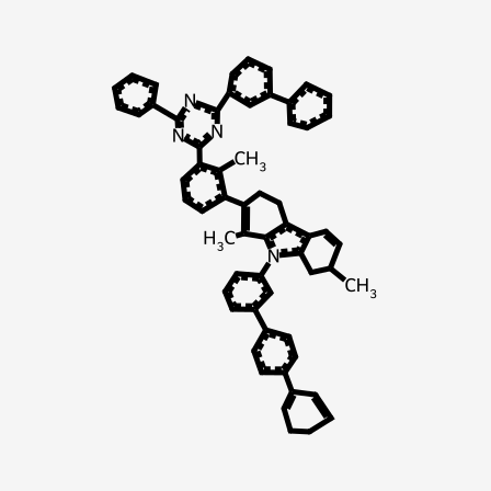 CC1=C(c2cccc(-c3nc(-c4ccccc4)nc(-c4cccc(-c5ccccc5)c4)n3)c2C)CCc2c3c(n(-c4cccc(-c5ccc(C6=CCCC=C6)cc5)c4)c21)CC(C)C=C3